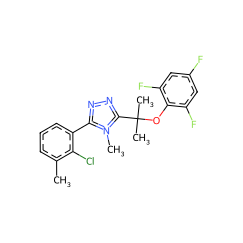 Cc1cccc(-c2nnc(C(C)(C)Oc3c(F)cc(F)cc3F)n2C)c1Cl